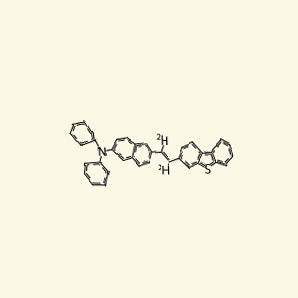 [2H]/C(=C(/[2H])c1ccc2c(c1)sc1ccccc12)c1ccc2cc(N(c3ccccc3)c3ccccc3)ccc2c1